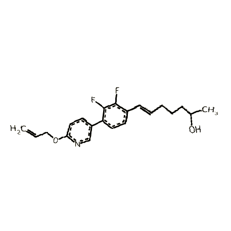 C=CCOc1ccc(-c2ccc(C=CCCCC(C)O)c(F)c2F)cn1